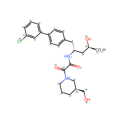 O=C(N[C@H](Cc1ccc(-c2cccc(Cl)c2)cc1)C[C@@H](O)C(=O)O)C(=O)N1CCC[C@H](CO)C1